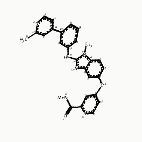 CNC(=O)c1cc(Oc2ccc3c(c2)nc(Nc2cccc(-c4ccnc(C)c4)c2)n3C)ccn1